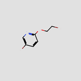 BrCCOc1ccc(Br)cn1